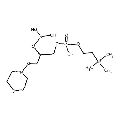 C[N+](C)(C)CCOP(=O)(O)OCC(CON1CCOCC1)ON(O)O